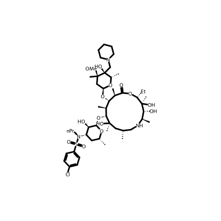 CCCN([C@H]1C[C@@H](C)O[C@@H](O[C@@H]2[C@@H](C)[C@H](O[C@H]3C[C@@](C)(OC)[C@](O)(CN4CCCCC4)[C@H](C)O3)[C@@H](C)C(=O)O[C@H](CC)[C@@](C)(O)[C@H](O)[C@@H](C)NC[C@H](C)C[C@@]2(C)O)[C@@H]1O)S(=O)(=O)c1ccc(Cl)cc1